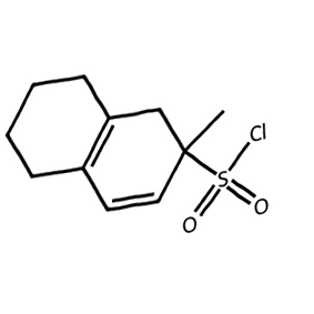 CC1(S(=O)(=O)Cl)C=CC2=C(CCCC2)C1